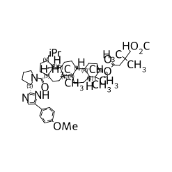 COc1ccc(-c2cnc([C@@H]3CCCN3C(=O)[C@]34CC[C@@H](C(C)C)[C@@H]3[C@H]3CC[C@@H]5[C@@]6(C)CC[C@H](OC(=O)CC(C)(C)CC(=O)O)C(C)(C)[C@@H]6CC[C@@]5(C)[C@]3(C)CC4)[nH]2)cc1